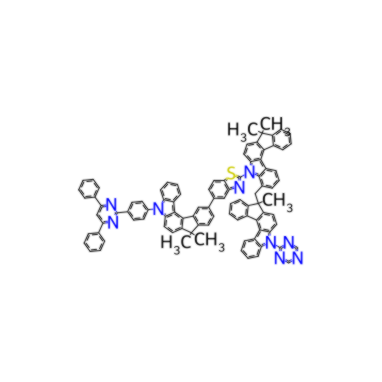 CC1(C)c2ccc(-c3ccc4sc(-n5c6ccc7c(c6c6cccc(CC8(C)c9ccccc9-c9c8ccc8c9c9ccccc9n8-c8ncncn8)c65)-c5ccccc5C7(C)C)nc4c3)cc2-c2c1ccc1c2c2ccccc2n1-c1ccc(-c2nc(-c3ccccc3)cc(-c3ccccc3)n2)cc1